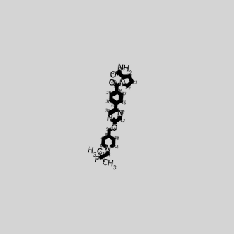 CC(C)(F)CN1CCC(COc2cnc(-c3ccc(C(=O)N4CCCC4C(N)=O)cc3)cn2)CC1